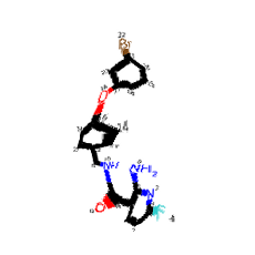 Nc1nc(F)ccc1C(=O)NCc1ccc(Oc2cccc(Br)c2)cc1